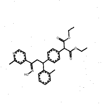 CCOC(=O)C(C(=O)OCC)c1ccc(C(CC(=NO)c2ccnc(C)c2)c2ccccc2C)cc1